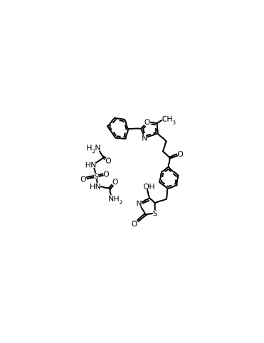 Cc1oc(-c2ccccc2)nc1CCC(=O)c1ccc(CC2SC(=O)N=C2O)cc1.NC(=O)NS(=O)(=O)NC(N)=O